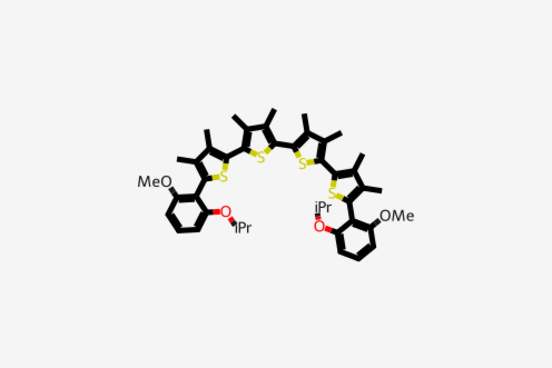 COc1cccc(OC(C)C)c1-c1sc(-c2sc(-c3sc(-c4sc(-c5c(OC)cccc5OC(C)C)c(C)c4C)c(C)c3C)c(C)c2C)c(C)c1C